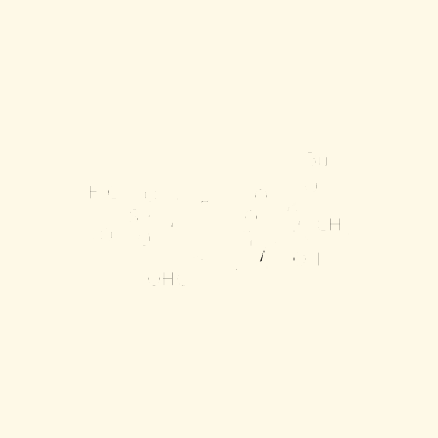 CC(C)(C)OC(=O)[C@@](C)(O)[C@H]1CCc2c(ccc(OS(=O)(=O)C(F)(F)F)c2C=O)O1